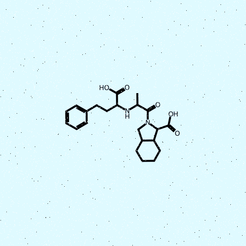 CC(NC(CCc1ccccc1)C(=O)O)C(=O)N1CC2CCCCC2C1C(=O)O